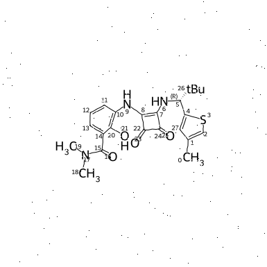 Cc1csc([C@H](Nc2c(Nc3cccc(C(=O)N(C)C)c3O)c(=O)c2=O)C(C)(C)C)c1